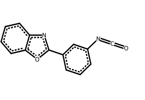 O=C=Nc1cccc(-c2nc3ccccc3o2)c1